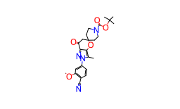 COc1cc(-n2nc3c(c2C)OC2(CCN(C(=O)OC(C)(C)C)CC2)CC3=O)ccc1C#N